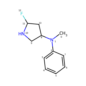 CN(c1ccccc1)C1CNC(F)C1